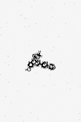 COc1ccc(CN(C(=O)OC(C)(C)C)c2nc(-c3ccc(N4CCOCC4)nc3)cs2)cc1